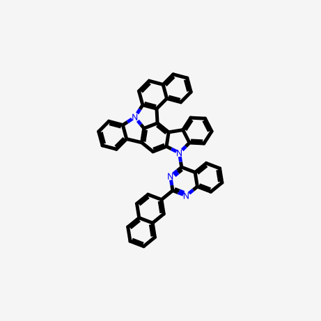 c1ccc2cc(-c3nc(-n4c5ccccc5c5c6c7c8ccccc8ccc7n7c8ccccc8c(cc54)c67)c4ccccc4n3)ccc2c1